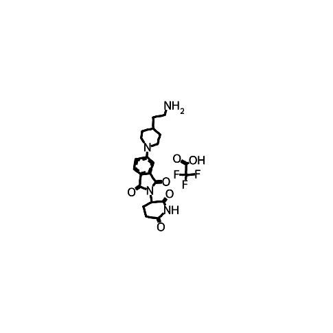 NCCC1CCN(c2ccc3c(c2)C(=O)N(C2CCC(=O)NC2=O)C3=O)CC1.O=C(O)C(F)(F)F